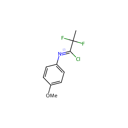 COc1ccc(/N=C(\Cl)C(C)(F)F)cc1